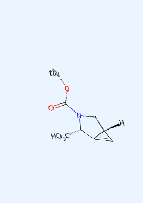 CC(C)(C)OC(=O)N1C[C@@H]2C=C2[C@@H]1C(=O)O